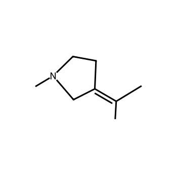 CC(C)=C1CCN(C)C1